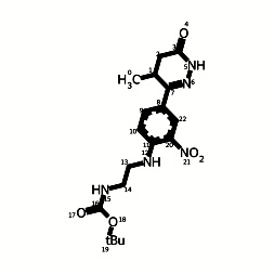 CC1CC(=O)NN=C1c1ccc(NCCNC(=O)OC(C)(C)C)c([N+](=O)[O-])c1